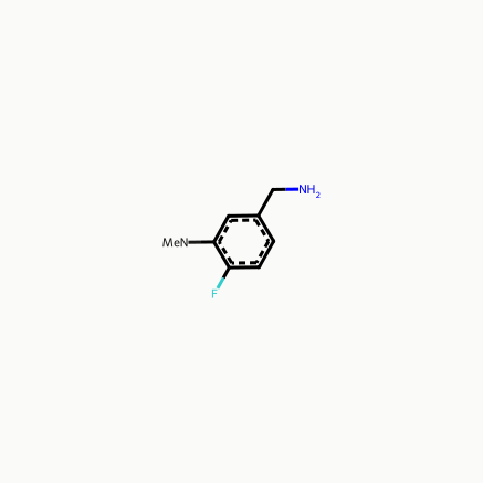 CNc1cc(CN)ccc1F